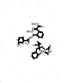 CO/N=C(/C(=O)OC)c1ccccc1CO/N=C(\C)c1cccc(C(F)(F)F)c1.OC(Cc1ccccc1Cl)(Cn1nc[nH]c1=S)C1(Cl)CC1